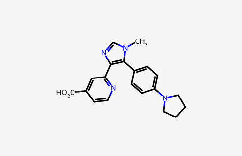 Cn1cnc(-c2cc(C(=O)O)ccn2)c1-c1ccc(N2CCCC2)cc1